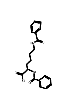 CCC(=O)C(CCCCNC(=O)c1ccccc1)NC(=O)c1ccccc1